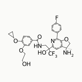 C[C@@]1(N)COc2c1cc(C(O)(CNC(=O)c1ccc(OC3CC3)c(OCCO)c1)C(F)(F)F)nc2-c1ccc(F)cc1